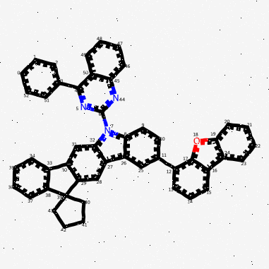 c1ccc(-c2nc(-n3c4ccc(-c5cccc6c5oc5ccccc56)cc4c4cc5c(cc43)-c3ccccc3C53CCCC3)nc3ccccc23)cc1